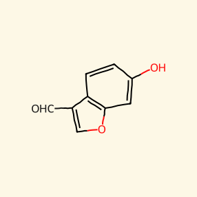 O=Cc1coc2cc(O)ccc12